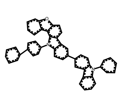 c1ccc(-c2ccc(-n3c4ccc(-c5ccc6c(c5)c5ccccc5n6-c5ccccc5)cc4c4ccc5oc6ccccc6c5c43)cc2)cc1